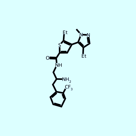 CCc1cnn(C)c1-c1cc(C(=O)NCC(N)Cc2ccccc2C(F)(F)F)sc1CC